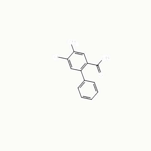 Cc1cc(C(=O)O)c(-c2ccccc2)cc1Cl